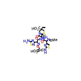 C=CC1(C(=O)O)CS[C@H]2N(C1)C(=O)C2(NC(=O)C(=NOC)c1csc(NC=O)n1)NC(=O)C(=NOCC(=O)O)c1nsc(N)n1